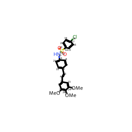 COc1cc(C=Cc2ccc(NS(=O)(=O)c3ccc(Cl)cc3)cc2)cc(OC)c1OC